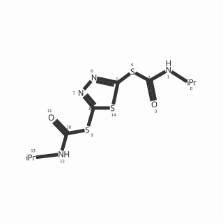 CC(C)NC(=O)Sc1nnc(SC(=O)NC(C)C)s1